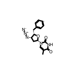 Cc1cn([C@@H]2C[C@H](N=[N+]=[N-])[C@H](Cc3cc[c]cc3)O2)c(=O)[nH]c1=O